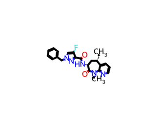 CC[C@H]1C[C@@H](NC(=O)c2nn(Cc3ccccc3)cc2F)C(=O)N(C)c2ncccc21